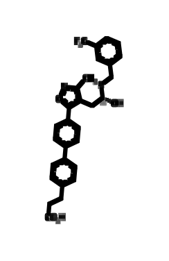 Cc1noc(-c2ccc(-c3ccc(CCC(=O)O)cc3)cc2)c1C[C@@H](O)SCc1cccc(C(F)(F)F)c1